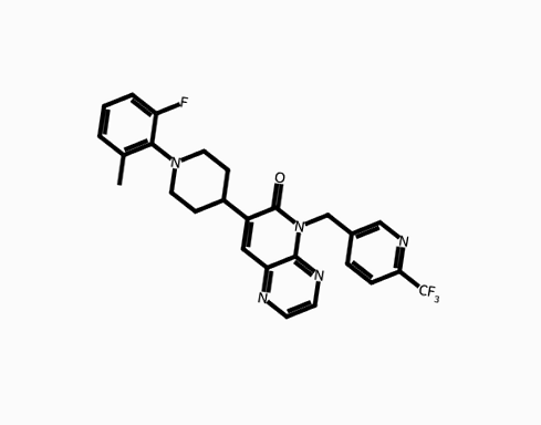 Cc1cccc(F)c1N1CCC(c2cc3nccnc3n(Cc3ccc(C(F)(F)F)nc3)c2=O)CC1